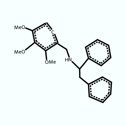 COc1ccc(CNC(Cc2ccccc2)c2ccccc2)c(OC)c1OC